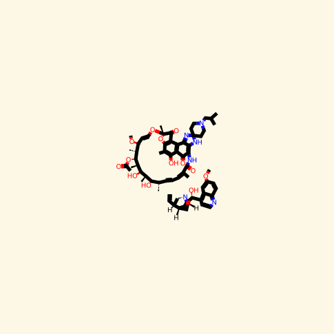 C=C[C@H]1C[N@]2CC[C@H]1C[C@H]2[C@H](O)c1ccnc2ccc(OC)cc12.CO[C@H]1/C=C/O[C@@]2(C)Oc3c(C)c(O)c4c(c3C2=O)C2=NC3(CCN(CC(C)C)CC3)NC2=C(NC(=O)/C(C)=C\C=C\[C@H](C)[C@H](O)[C@@H](C)[C@@H](O)[C@@H](C)[C@H](OC(C)=O)[C@@H]1C)C4=O